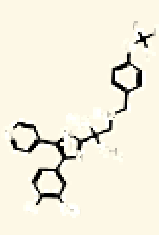 CC(C)(CNCc1ccc(OC(F)(F)F)cc1)c1nc(-c2ccc(Cl)c(O)c2)c(-c2ccncc2)[nH]1